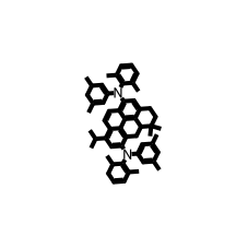 CC1=CC(N(c2c(C)cccc2C)c2cc3c4c5c2ccc2c(C(C)C)cc(N(C6=C(C)C=CCC6C)c6cc(C)cc(C)c6)c(c25)CC4C(C)(C)CC3)=CC(C)C1